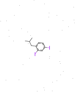 CC(C)Cc1ccc(I)cc1I